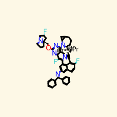 CC(C)[Si](C#Cc1c(F)ccc2cc(N=C(c3ccccc3)c3ccccc3)cc(-c3ncc4c(N5CCCCC6CC65)nc(OC[C@@]56CCCN5C[C@H](F)C6)nc4c3F)c12)(C(C)C)C(C)C